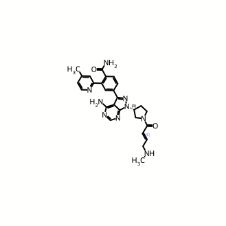 CNC/C=C/C(=O)N1CC[C@@H](n2nc(-c3ccc(C(N)=O)c(-c4cc(C)ccn4)c3)c3c(N)ncnc32)C1